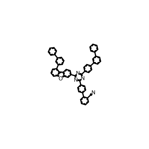 N#Cc1ccccc1-c1ccc(-c2nc(-c3ccc(-c4cccc(-c5ccccc5)c4)cc3)nc(-c3ccc4c(c3)oc3cccc(-c5cccc(-c6ccccc6)c5)c34)n2)cc1